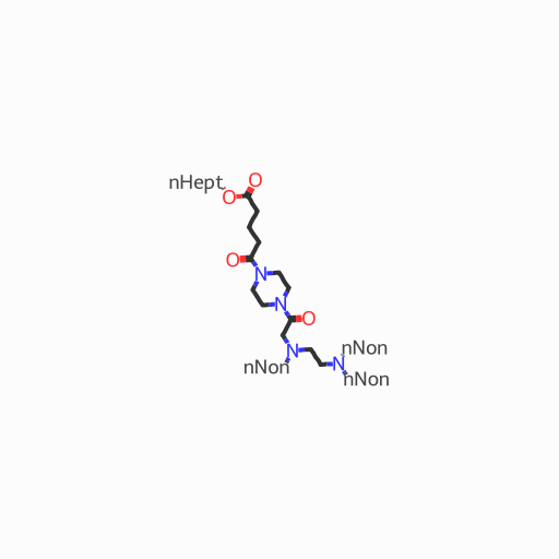 CCCCCCCCCN(CCCCCCCCC)CCN(CCCCCCCCC)CC(=O)N1CCN(C(=O)CCCC(=O)OCCCCCCC)CC1